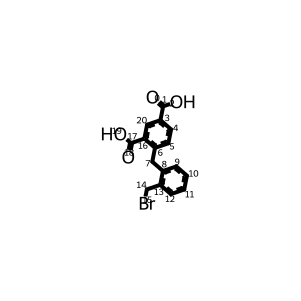 O=C(O)c1ccc(Cc2ccccc2CBr)c(C(=O)O)c1